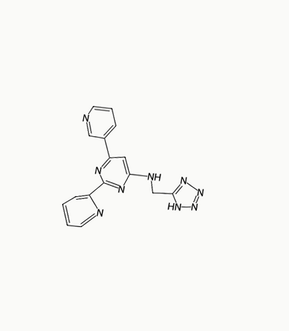 c1ccc(-c2nc(NCc3nnn[nH]3)cc(-c3cccnc3)n2)nc1